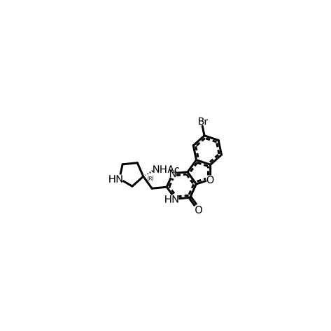 CC(=O)N[C@@]1(Cc2nc3c(oc4ccc(Br)cc43)c(=O)[nH]2)CCNC1